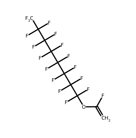 C=C(F)OC(F)(F)C(F)(F)C(F)(F)C(F)(F)C(F)(F)C(F)(F)C(F)(F)C(F)(F)F